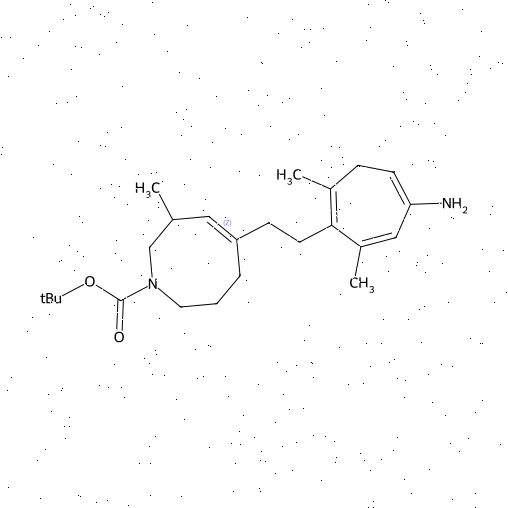 CC1=CC(N)=CCC(C)=C1CC/C1=C/C(C)CN(C(=O)OC(C)(C)C)CCC1